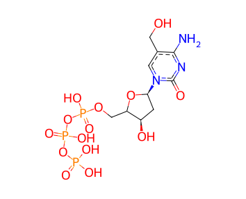 Nc1nc(=O)n([C@H]2C[C@@H](O)C(COP(=O)(O)OP(=O)(O)OP(=O)(O)O)O2)cc1CO